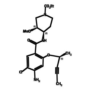 CC#C[C@H](C)Oc1cc(N)c(Cl)cc1C(=O)N[C@@H]1CCN(C(=O)OCC)C[C@@H]1OC